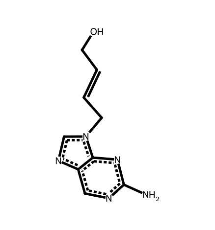 Nc1ncc2ncn(CC=CCO)c2n1